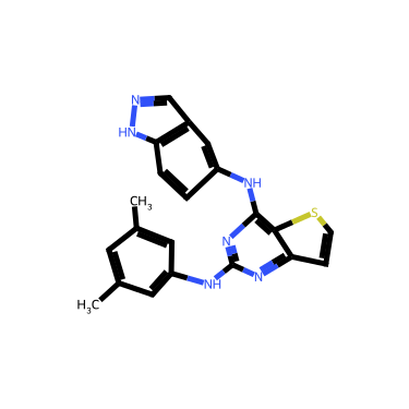 Cc1cc(C)cc(Nc2nc(Nc3ccc4[nH]ncc4c3)c3sccc3n2)c1